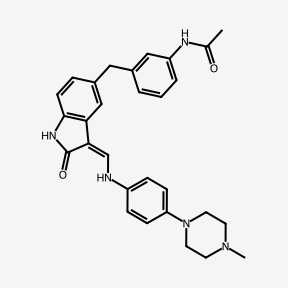 CC(=O)Nc1cccc(Cc2ccc3c(c2)C(=CNc2ccc(N4CCN(C)CC4)cc2)C(=O)N3)c1